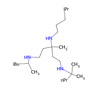 [CH2]C(CCNC(C)C(C)CC)(CCNC(C)(C)CCC)NCCCC(C)C